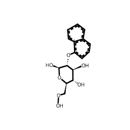 OOC[C@H]1O[C@@H](O)[C@H](Oc2cccc3ccccc23)[C@@H](O)[C@@H]1O